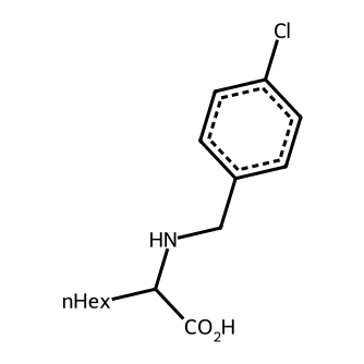 CCCCCCC(NCc1ccc(Cl)cc1)C(=O)O